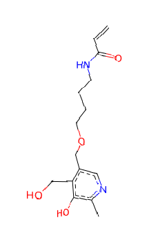 C=CC(=O)NCCCCOCc1cnc(C)c(O)c1CO